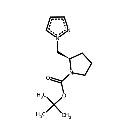 CC(C)(C)OC(=O)N1CCC[C@@H]1Cn1cccn1